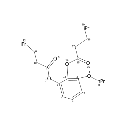 CCCOc1cccc(OC(=O)CCC(C)C)c1OC(=O)CCC(C)C